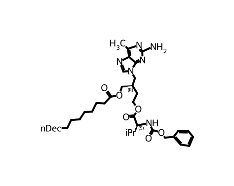 CCCCCCCCCCCCCCCCCC(=O)OC[C@H](CCOC(=O)[C@@H](NC(=O)OCc1ccccc1)C(C)C)Cn1cnc2c(C)nc(N)nc21